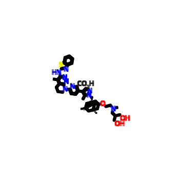 Cc1c(Nc2nc3ccccc3s2)nnc2c1CCCN2c1ccc(-c2cnn(C[C@]34C[C@]5(C)C[C@](C)(C3)C[C@@](OCCN(C)CC(CO)CO)(C5)C4)c2C)c(C(=O)O)n1